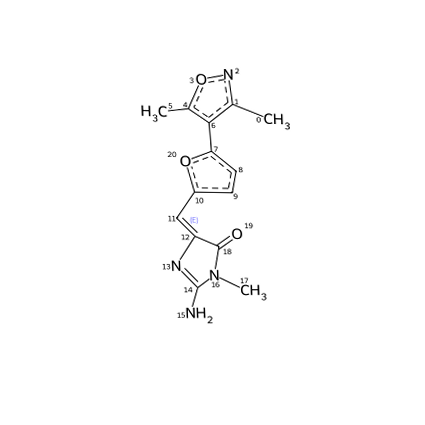 Cc1noc(C)c1-c1ccc(/C=C2/N=C(N)N(C)C2=O)o1